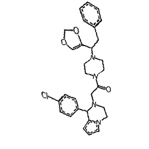 O=C(CN1CCn2cccc2C1c1ccc(Cl)cc1)N1CCN(C(Cc2ccccc2)C2=COCO2)CC1